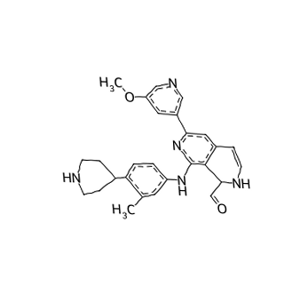 COc1cncc(-c2cc3c(c(Nc4ccc(C5CCNCC5)c(C)c4)n2)C(C=O)NC=C3)c1